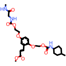 CNC(=O)CNC(=O)OCCOc1ccc(OCCOC(=O)NC2CCC(C)CC2)c(/C=C/C(=O)OC)c1